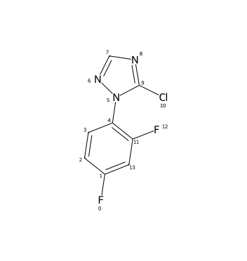 Fc1ccc(-n2ncnc2Cl)c(F)c1